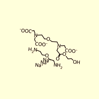 NCCOCCN.O=C([O-])CN(CCOCCN(CC(=O)[O-])CC(=O)OCCO)CC(=O)[O-].[Na+].[Na+].[Na+]